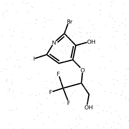 OCC(Oc1cc(I)nc(Br)c1O)C(F)(F)F